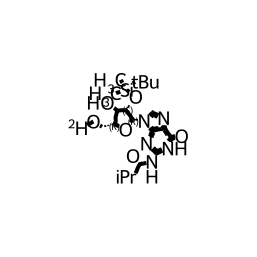 [2H]OC[C@H]1O[C@@H](n2cnc3c(=O)[nH]c(NC(=O)C(C)C)nc32)[C@@H](O[Si](C)(C)C(C)(C)C)C1O